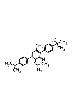 C/N=C1/C(c2ccc(C(C)C)cc2)=CC(C)=C(c2ccc(C(C)(C)C)cc2)/C1=N/C